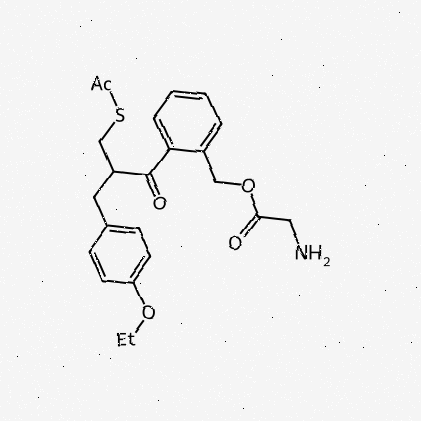 CCOc1ccc(CC(CSC(C)=O)C(=O)c2ccccc2COC(=O)CN)cc1